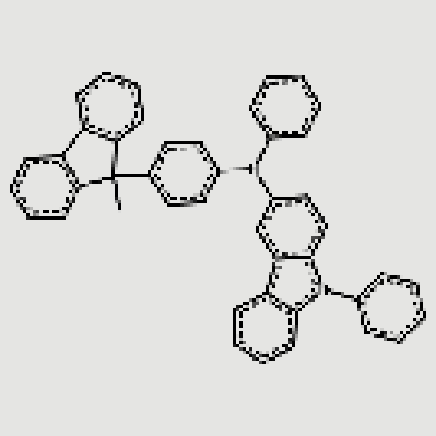 CC1(c2ccc(N(c3ccccc3)c3ccc4c(c3)c3ccccc3n4-c3ccccc3)cc2)c2ccccc2-c2ccccc21